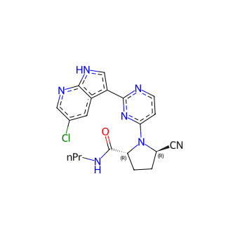 CCCNC(=O)[C@H]1CC[C@H](C#N)N1c1ccnc(-c2c[nH]c3ncc(Cl)cc23)n1